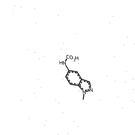 Cn1ncc2cc(NC(=O)O)ccc21